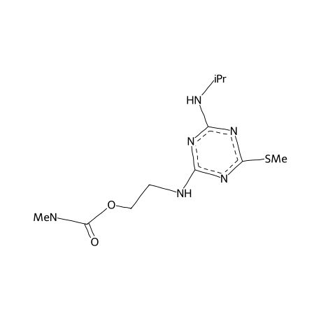 CNC(=O)OCCNc1nc(NC(C)C)nc(SC)n1